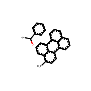 CCCC(O)c1ccccc1.Cc1ccc2c3cccc4cccc(c5cccc1c52)c43